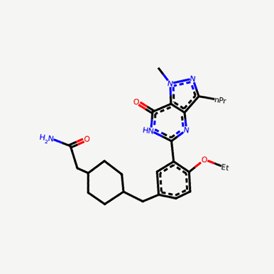 CCCc1nn(C)c2c(=O)[nH]c(-c3cc(CC4CCC(CC(N)=O)CC4)ccc3OCC)nc12